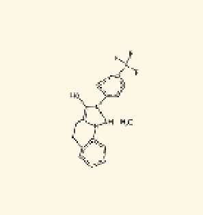 O.OC1=C2CCc3ccccc3N2NN1c1ccc(C(F)(F)F)cc1